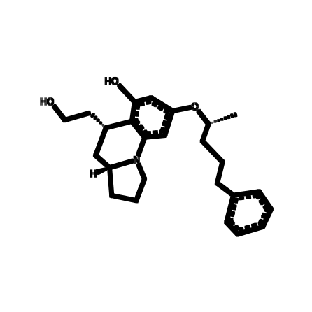 C[C@H](CCCc1ccccc1)Oc1cc(O)c2c(c1)N1CCC[C@@H]1C[C@@H]2CCO